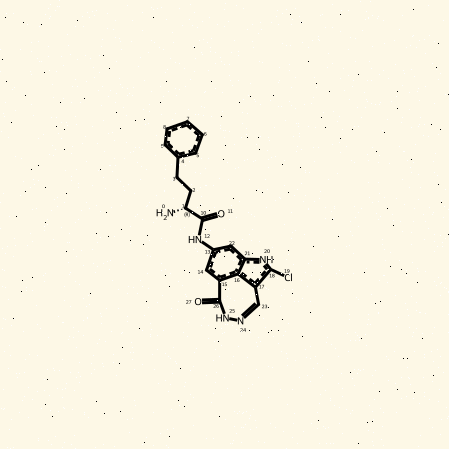 N[C@H](CCc1ccccc1)C(=O)Nc1cc2c3c(c(Cl)[nH]c3c1)C=NNC2=O